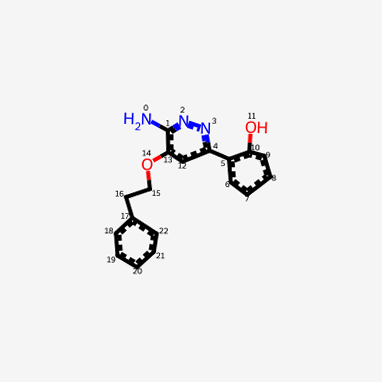 Nc1nnc(-c2ccccc2O)cc1OCCc1ccccc1